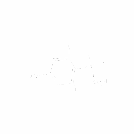 CC(C)(C(=O)O)c1c(F)cc([N+](=O)[O-])cc1F